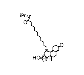 CC(C)N(C)C(=O)CCCCCCCCCCC[C@H]1C[C@]2(C)[C@@H](O)CC[C@H]2[C@@H]2CCC3=CC(=O)CCC3=C12